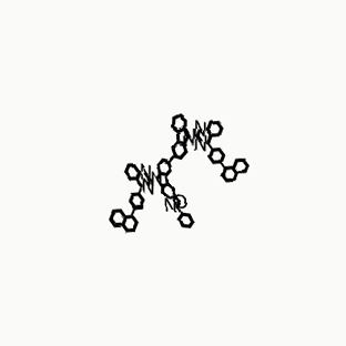 c1ccc(-c2nc3cc4c(cc3o2)c2cc(-c3ccc5c(c3)c3ccccc3n5-c3nc(-c5ccc(-c6cccc7ccccc67)cc5)c5ccccc5n3)ccc2n4-c2nc(-c3ccc(-c4cccc5ccccc45)cc3)c3ccccc3n2)cc1